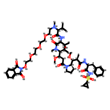 CO[C@H]([C@@H](C)C(=O)N[C@@H](Cc1ccccc1)C(=O)NS(=O)(=O)C1CC1)[C@@H]1CCCN1C(=O)C[C@@H](OC)[C@H](C(C)C)N(C)C(=O)[C@@H](NC(=O)[C@H](C(C)C)N(C)CCOCCOCCOCCON1C(=O)c2ccccc2C1=O)C(C)C